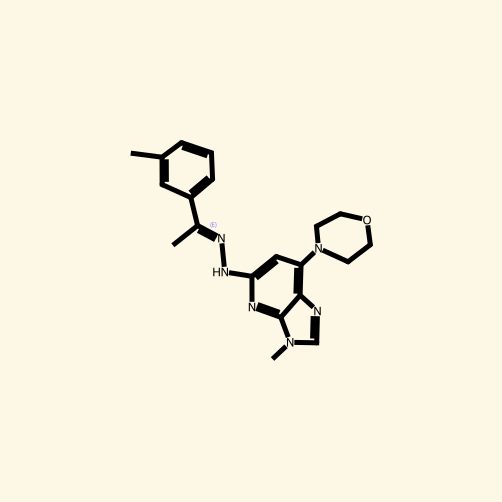 C/C(=N\Nc1cc(N2CCOCC2)c2ncn(C)c2n1)c1cccc(C)c1